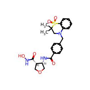 CC1(C)CN(Cc2ccc(C(=O)N[C@@H]3COC[C@@H]3C(=O)NO)cc2)c2ccccc2S1(=O)=O